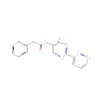 O=C(Cc1c[c]ccc1)Nc1cnc(-c2cccnn2)nc1O